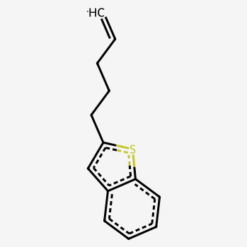 [CH]=CCCCc1cc2ccccc2s1